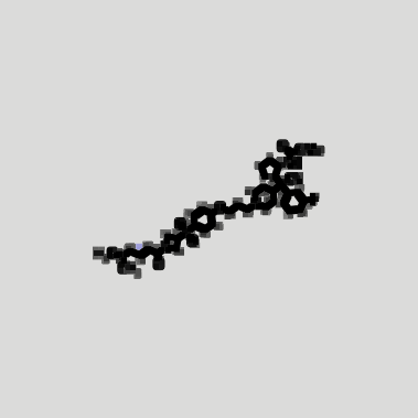 COC(=O)N[C@H]1CCC[C@@H]1[C@](C#N)(c1cccc(F)c1)C1CCN(CCCOc2ccc(S(=O)(=O)C3CN(C(=O)/C=C/CN(C)C)C3)cc2)CC1